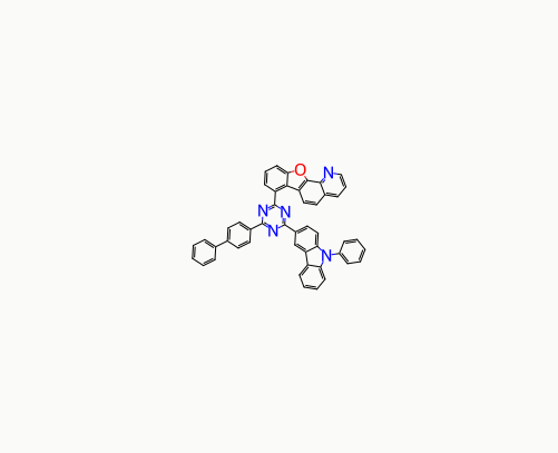 c1ccc(-c2ccc(-c3nc(-c4ccc5c(c4)c4ccccc4n5-c4ccccc4)nc(-c4cccc5oc6c(ccc7cccnc76)c45)n3)cc2)cc1